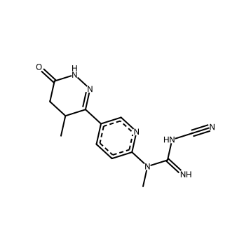 CC1CC(=O)NN=C1c1ccc(N(C)C(=N)NC#N)nc1